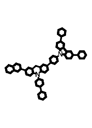 c1ccc(-c2ccc(N3c4ccc(-c5ccc(-n6c7ccc(-c8ccccc8)cc7c7cc(-c8ccccc8)ccc76)cc5)cc4Cc4cc(-c5ccc6ccccc6c5)ccc43)cc2)cc1